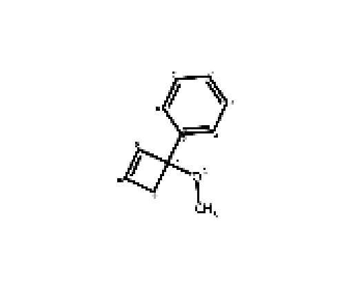 COC1(c2ccccc2)C=CC1